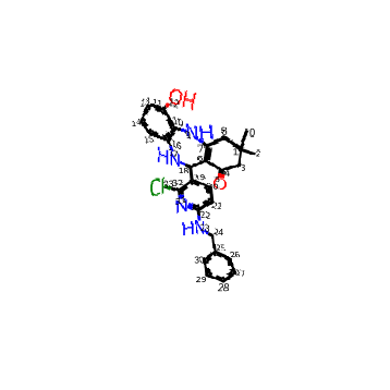 CC1(C)CC(=O)C2=C(C1)Nc1c(O)cccc1NC2c1ccc(NCc2ccccc2)nc1Cl